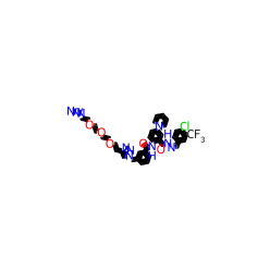 [N-]=[N+]=NCCOCCOCCOCCc1cn(Cc2cccc(C(=O)Nc3ccc(N4CCCCC4)cc3C(=O)N/N=C\c3ccc(Cl)c(C(F)(F)F)c3)c2)nn1